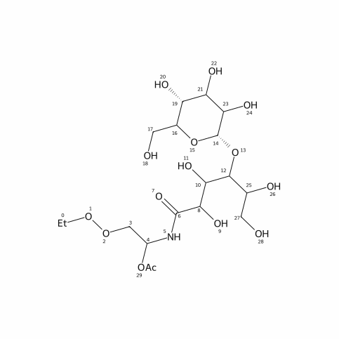 CCOOCC(NC(=O)C(O)C(O)C(O[C@@H]1OC(CO)[C@H](O)C(O)C1O)C(O)CO)OC(C)=O